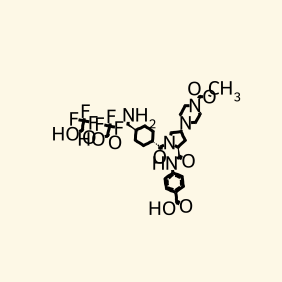 COC(=O)N1CCN([C@H]2C[C@@H](C(=O)Nc3ccc(C(=O)O)cc3)N(C(=O)[C@H]3CC[C@H](CN)CC3)C2)CC1.O=C(O)C(F)(F)F.O=C(O)C(F)(F)F